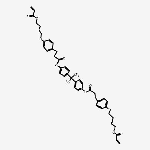 C=CC(=O)OCCCCOc1ccc(CCC(=O)Oc2ccc(C(c3ccc(OC(=O)CCc4ccc(OCCCCOC(=O)C=C)cc4)cc3)(C(F)(F)F)C(F)(F)F)cc2)cc1